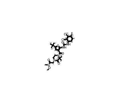 CON(C)C(=O)CN1CCN(C(=O)c2cc(C(C)(C)C)sc2NC(=O)Nc2ccc(F)c(Cl)c2Cl)C(C)(C)C1=O